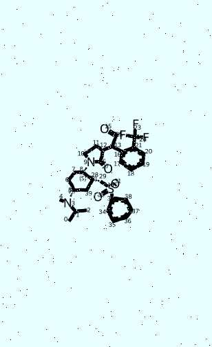 CC(C)N(C)[C@@H]1CC[C@H](N2CCC(C(C=O)c3ccccc3C(F)(F)F)C2=O)[C@H](CS(=O)(=O)c2ccccc2)C1